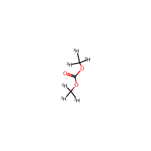 [2H]C([2H])([2H])OC(=O)OC([2H])([2H])[2H]